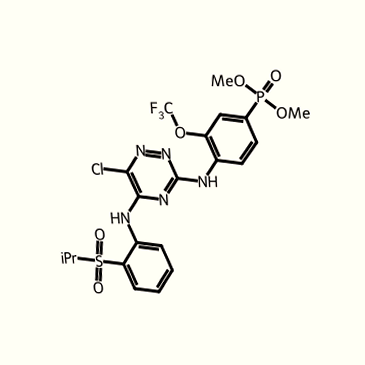 COP(=O)(OC)c1ccc(Nc2nnc(Cl)c(Nc3ccccc3S(=O)(=O)C(C)C)n2)c(OC(F)(F)F)c1